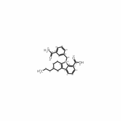 CCCC1CCc2c(c3cccc(C(=O)O)c3n2Cc2cccc(C(N)=O)c2)C1